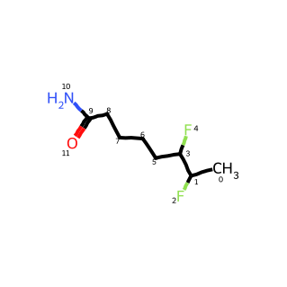 CC(F)C(F)CCCCC(N)=O